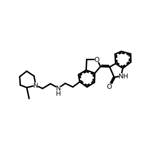 CC1CCCCN1CCNCCc1ccc2c(c1)CO/C2=C1/C(=O)Nc2ccccc21